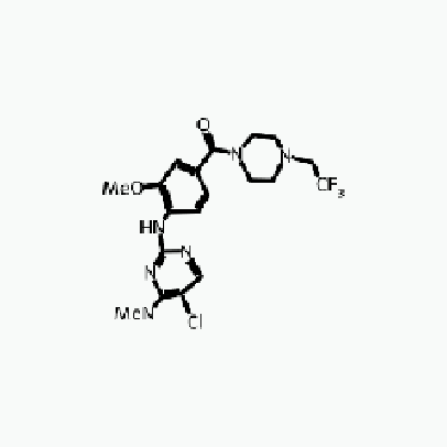 CNc1nc(Nc2ccc(C(=O)N3CCN(CC(F)(F)F)CC3)cc2OC)ncc1Cl